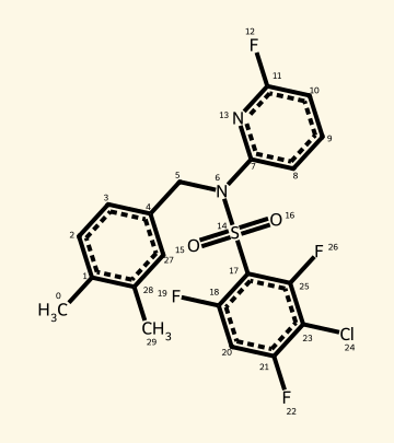 Cc1ccc(CN(c2cccc(F)n2)S(=O)(=O)c2c(F)cc(F)c(Cl)c2F)cc1C